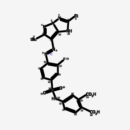 CCc1nn2nc(C(C)(C)C)c(/N=N/c3ccc(S(=O)(=O)Nc4ccc(C(=O)O)c(C(=O)O)c4)cc3F)c2[nH]1